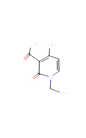 COC(=O)c1c(C)ccn(CC(C)(C)C)c1=O